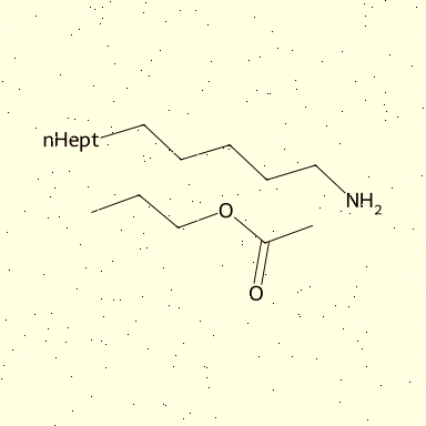 CCCCCCCCCCCCN.CCCOC(C)=O